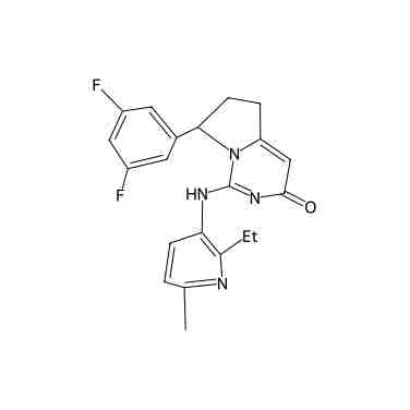 CCc1nc(C)ccc1Nc1nc(=O)cc2n1C(c1cc(F)cc(F)c1)CC2